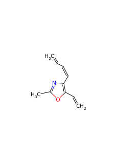 C=C/C=C\c1nc(C)oc1C=C